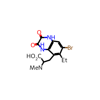 CCc1c(Br)cc2[nH]c(=O)c(=O)[nH]c2c1CC(NC)C(=O)O